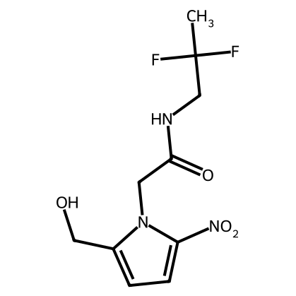 CC(F)(F)CNC(=O)Cn1c(CO)ccc1[N+](=O)[O-]